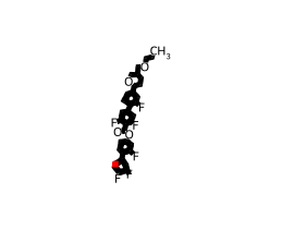 CCCOCC1CCC(c2ccc(-c3cc(F)c(C(=O)Oc4ccc(-c5ccc(F)c(F)c5)c(F)c4)c(F)c3)c(F)c2)OC1